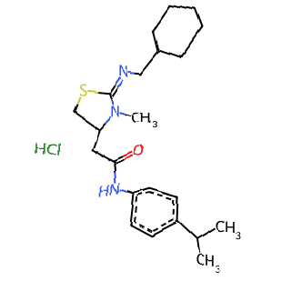 CC(C)c1ccc(NC(=O)CC2CSC(=NCC3CCCCC3)N2C)cc1.Cl